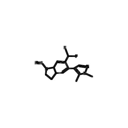 CCCC(C)N1CCC2C=C(c3cnn(C)c3C)C(C(F)F)=CC21